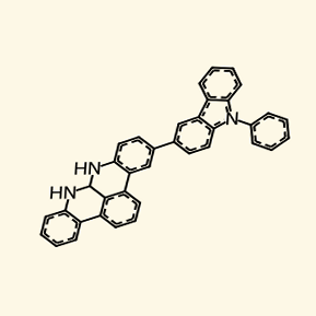 c1ccc(-n2c3ccccc3c3cc(-c4ccc5c(c4)-c4cccc6c4C(Nc4ccccc4-6)N5)ccc32)cc1